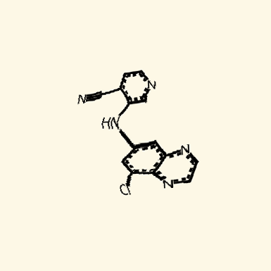 N#Cc1ccncc1Nc1cc(Cl)c2nccnc2c1